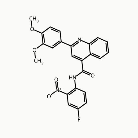 COc1ccc(-c2cc(C(=O)Nc3ccc(F)cc3[N+](=O)[O-])c3ccccc3n2)cc1OC